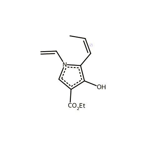 C=Cn1cc(C(=O)OCC)c(O)c1/C=C\C